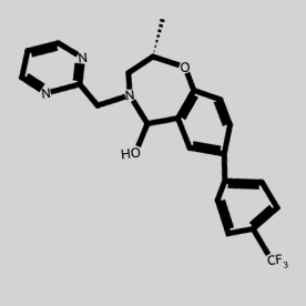 C[C@H]1CN(Cc2ncccn2)C(O)c2cc(-c3ccc(C(F)(F)F)cc3)ccc2O1